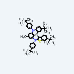 Cc1cc2c3c(c1)N(c1ccc(C(C)(C)C)cc1)c1sc4cc(C(C)(C)C)ccc4c1B3c1cc(C(C)(C)C)ccc1N2c1ccc(C(C)(C)C)cc1